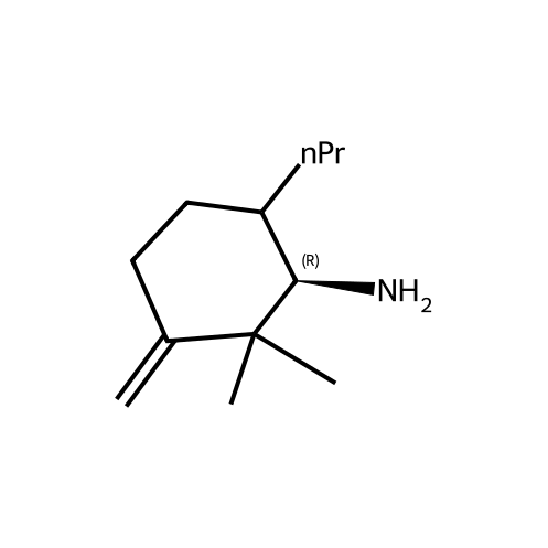 C=C1CCC(CCC)[C@@H](N)C1(C)C